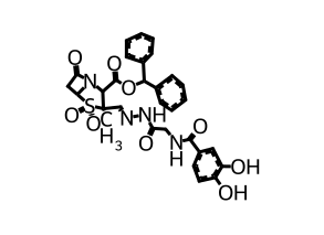 CC1(C=NNC(=O)CNC(=O)c2ccc(O)c(O)c2)C(C(=O)OC(c2ccccc2)c2ccccc2)N2C(=O)CC2S1(=O)=O